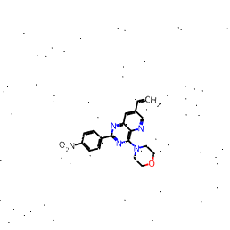 C=Cc1cnc2c(N3CCOCC3)nc(-c3ccc([N+](=O)[O-])cc3)nc2c1